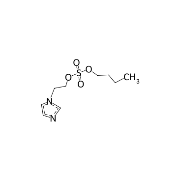 CCCCOS(=O)(=O)OCCn1ccnc1